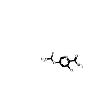 CC(F)Oc1cnc(C(N)=O)c(Cl)c1